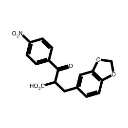 O=C(O)C(Cc1ccc2c(c1)OCO2)C(=O)c1ccc([N+](=O)[O-])cc1